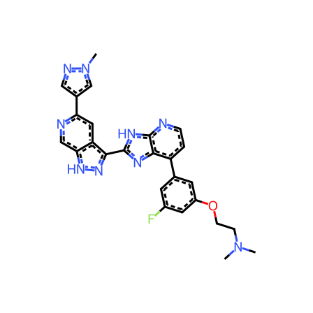 CN(C)CCOc1cc(F)cc(-c2ccnc3[nH]c(-c4n[nH]c5cnc(-c6cnn(C)c6)cc45)nc23)c1